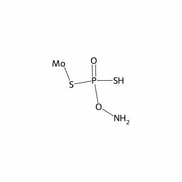 NOP(=O)(S)[S][Mo]